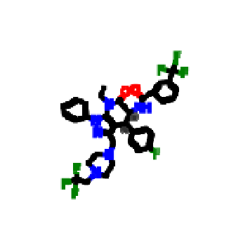 CCN1C(=O)[C@@H](NC(=O)c2cccc(C(F)(F)F)c2)[C@@H](c2ccc(F)cc2)c2c(CN3CCN(CC(F)(F)F)CC3)nn(-c3ccccc3)c21